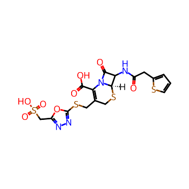 O=C(Cc1cccs1)NC1C(=O)N2C(C(=O)O)=C(CSc3nnc(CS(=O)(=O)O)o3)CS[C@H]12